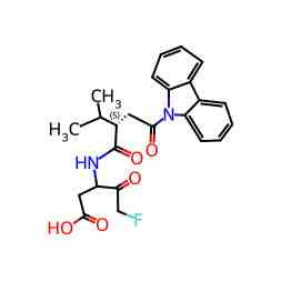 CC(C)[C@H](CC(=O)n1c2ccccc2c2ccccc21)C(=O)NC(CC(=O)O)C(=O)CF